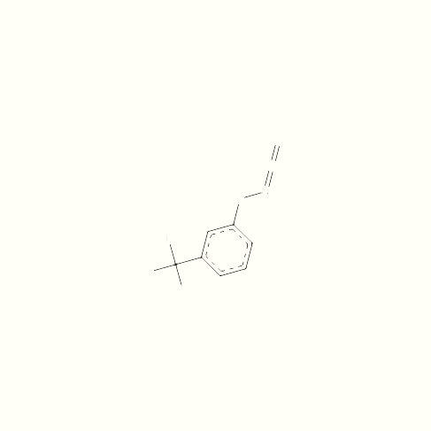 O=C=NSc1cccc(C(F)(F)F)c1